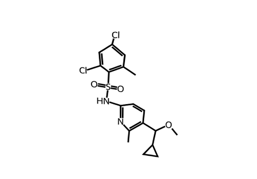 COC(c1ccc(NS(=O)(=O)c2c(C)cc(Cl)cc2Cl)nc1C)C1CC1